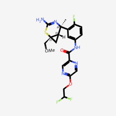 COC[C@]12C[C@H]1[C@](C)(c1cc(NC(=O)c3cnc(OCC(F)F)cn3)ccc1F)N=C(N)S2